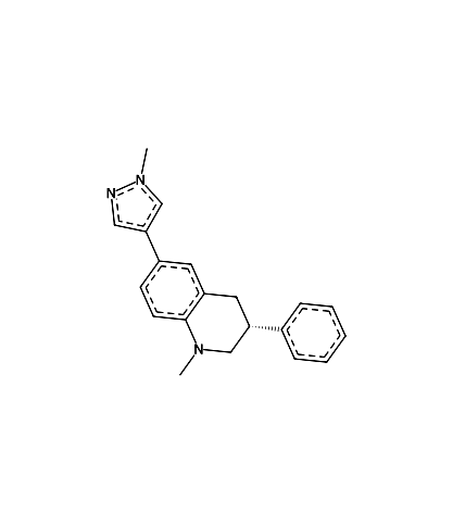 CN1C[C@@H](c2ccccc2)Cc2cc(-c3cnn(C)c3)ccc21